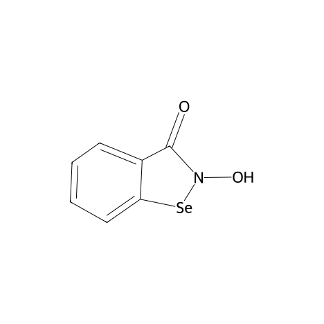 O=c1c2ccccc2[se]n1O